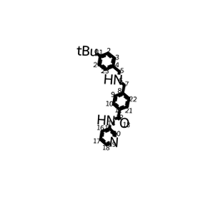 CC(C)(C)c1ccc(CNCc2ccc(C(=O)Nc3cccnc3)cc2)cc1